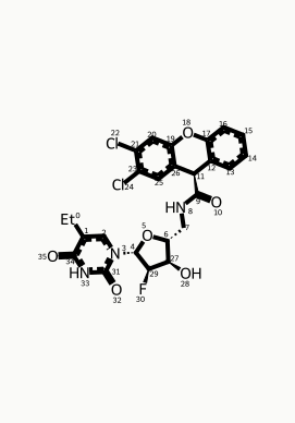 CCc1cn([C@@H]2O[C@H](CNC(=O)[C@@H]3c4ccccc4Oc4cc(Cl)c(Cl)cc43)[C@@H](O)[C@H]2F)c(=O)[nH]c1=O